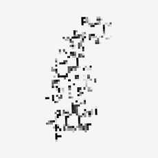 CC(Cc1cccc([C@@](C)(CCCC(C)(C)CSCCc2c(S)c(F)cc3[nH]ccc23)c2csc(-c3ccccc3F)n2)c1)C(=O)O